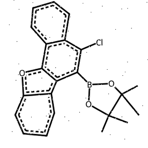 CC1(C)OB(c2c(Cl)c3ccccc3c3oc4ccccc4c23)OC1(C)C